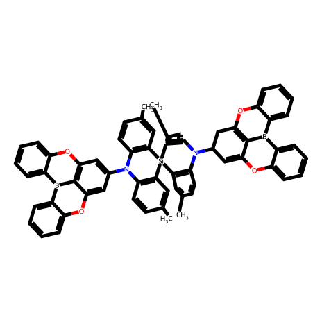 Cc1ccc2c(c1)[Si]1(c3cc(C)ccc3N2c2cc3c4c(c2)Oc2ccccc2B4c2ccccc2O3)c2cc(C)ccc2N(C2C=C3Oc4ccccc4B4C3=C(C2)Oc2ccccc24)c2ccc(C)cc21